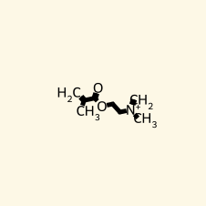 C=C(C)C(=O)OCC[N+](=C)C